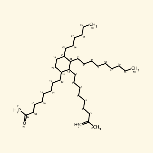 C=C(C)CCCCCCCC1C(CCCCCCCC(=O)P)CCC(CCCCCC)C1CCCCCCCCC